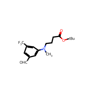 CN(CCCC(=O)OC(C)(C)C)c1cc(C=O)cc(C(F)(F)F)c1